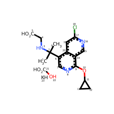 CC(C)(NCC(=O)O)c1cnc(OC2CC2)c2cnc(Cl)cc12.O=C(O)O.[KH]